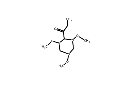 CCC(=O)C1N(OC)CN(OC)CN1OC